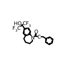 O=C(CCc1ccccc1)N1CCCCc2cc(C(O)(C(F)(F)F)C(F)(F)F)ccc21